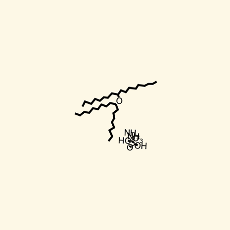 CCCCCCCCCC(CCCCCCCC)OC(CCCCCCCC)CCCCCCCCC.N.N.O=S(=O)(O)O